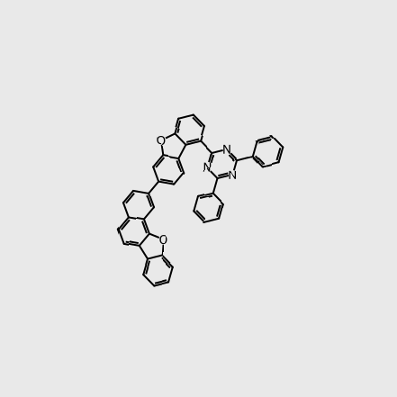 c1ccc(-c2nc(-c3ccccc3)nc(-c3cccc4oc5cc(-c6ccc7ccc8c9ccccc9oc8c7c6)ccc5c34)n2)cc1